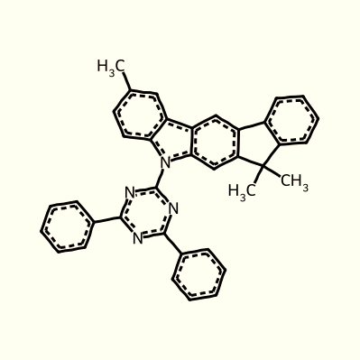 Cc1ccc2c(c1)c1cc3c(cc1n2-c1nc(-c2ccccc2)nc(-c2ccccc2)n1)C(C)(C)c1ccccc1-3